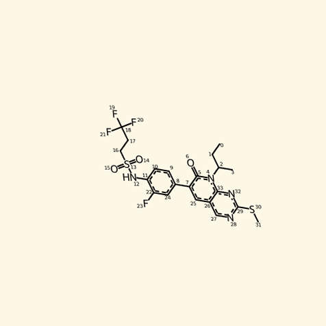 CCC(C)n1c(=O)c(-c2ccc(NS(=O)(=O)CCC(F)(F)F)c(F)c2)cc2cnc(SC)nc21